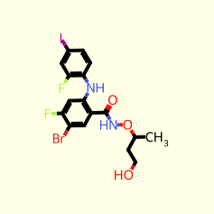 CC(CCO)ONC(=O)c1cc(Br)c(F)cc1Nc1ccc(I)cc1F